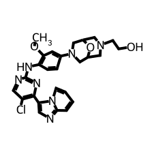 COc1cc(N2CC3CN(CCO)CC(C2)O3)ccc1Nc1ncc(Cl)c(-c2cnc3ccccn23)n1